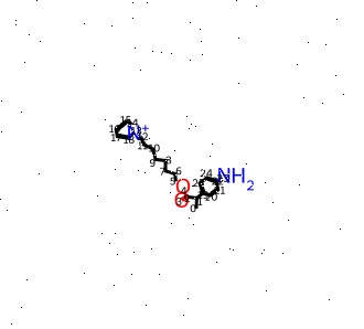 CC(C(=O)OCCCCCCCC[n+]1ccccc1)c1ccc(N)cc1